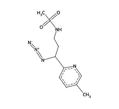 Cc1ccc(C(CCNS(C)(=O)=O)N=[N+]=[N-])nc1